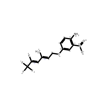 CC(/C=C(\F)C(F)(F)F)=C\CSc1ccc(N)c([N+](=O)[O-])c1